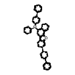 c1ccc(-c2ccc(-c3ccc4c(c3)oc3c5ccccc5c(N(c5ccccc5)c5ccc(-c6ccccc6)cc5)cc43)cc2)cc1